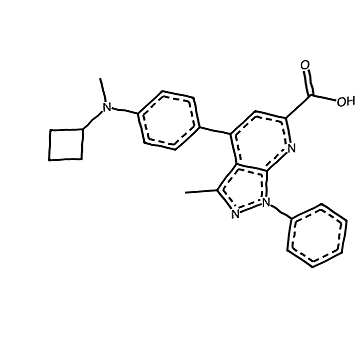 Cc1nn(-c2ccccc2)c2nc(C(=O)O)cc(-c3ccc(N(C)C4CCC4)cc3)c12